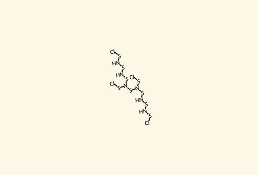 ClSNSNSN(SCl)SN(SCl)SNSNSCl